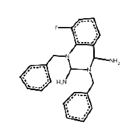 NC1c2cccc(F)c2N(Cc2ccccc2)C(N)N1Cc1ccccc1